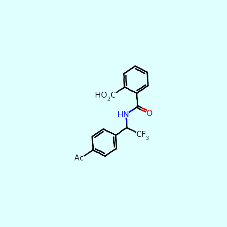 CC(=O)c1ccc(C(NC(=O)c2ccccc2C(=O)O)C(F)(F)F)cc1